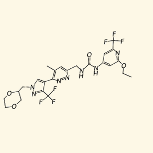 CCOc1cc(NC(=O)NCc2cc(C)c(-c3cn(CC4COCCO4)nc3C(F)(F)F)nn2)cc(C(F)(F)F)n1